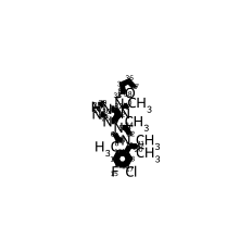 Cc1nc2c(N3C[C@@H](C)N(C(c4ccc(F)c(Cl)c4)C(C)C)C[C@@H]3C)nc3nncn3c2n1C[C@@H]1CCCO1